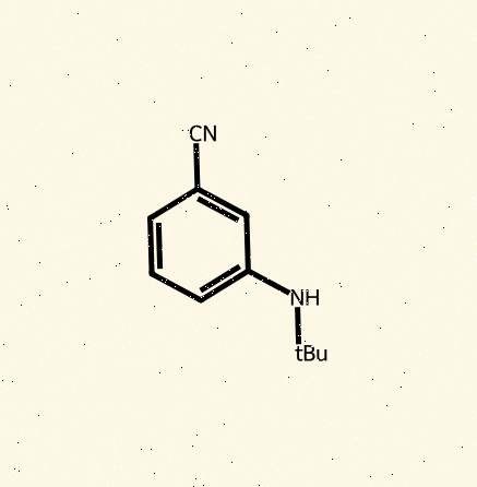 CC(C)(C)Nc1cccc(C#N)c1